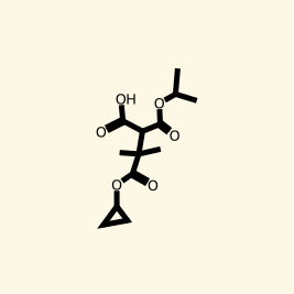 CC(C)OC(=O)C(C(=O)O)C(C)(C)C(=O)OC1CC1